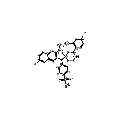 COc1nc2ccc(F)cc2cc1C(c1ccc(S(C)(=O)=O)cc1)C1(O)CCNC(c2ccc(F)cc2C)C1